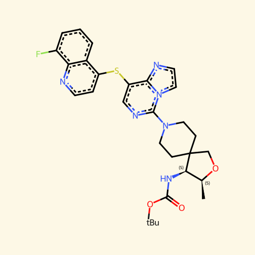 C[C@@H]1OCC2(CCN(c3ncc(Sc4ccnc5c(F)cccc45)c4nccn34)CC2)[C@@H]1NC(=O)OC(C)(C)C